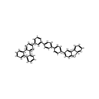 c1cc(-c2ccc(-c3ccc(-c4ccc5oc6ccccc6c5c4)cc3)cc2)cc(-c2cnc3c4ccccc4c4ccccc4c3n2)c1